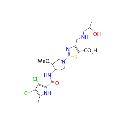 COC1CN(c2nc(CNCC(C)O)c(C(=O)O)s2)CCC1NC(=O)c1[nH]c(C)c(Cl)c1Cl